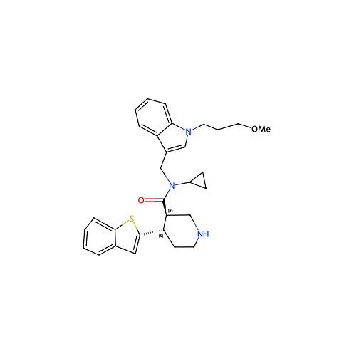 COCCCn1cc(CN(C(=O)[C@H]2CNCC[C@@H]2c2cc3ccccc3s2)C2CC2)c2ccccc21